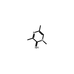 Cc1cn(C)c(=N)c(C)n1